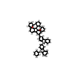 c1ccc(-c2cccc(-c3ccccc3)c2C2c3ccccc3-c3cc(-c4ccc5c(c4)c4ccccc4n5-c4ccc5c(c4)c4ccccc4n5-c4ccccc4)ccc32)cc1